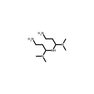 CN(C)C(CCN)NC(CCN)N(C)C